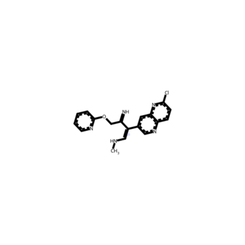 CN/C=C(\C(=N)COc1ccccn1)c1cnc2ccc(Cl)nc2c1